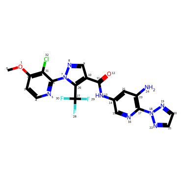 COc1ccnc(-n2ncc(C(=O)Nc3cnc(-n4nccn4)c(N)c3)c2C(F)(F)F)c1Cl